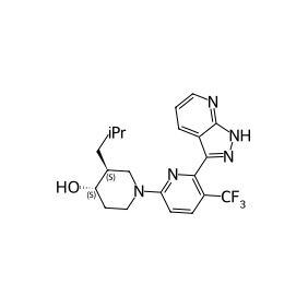 CC(C)C[C@H]1CN(c2ccc(C(F)(F)F)c(-c3n[nH]c4ncccc34)n2)CC[C@@H]1O